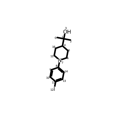 CC(C)(O)C1CCN(c2ccc(I)cc2)CC1